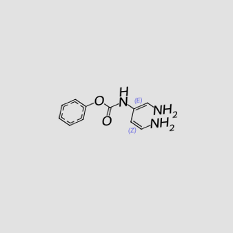 N/C=C\C(=C/N)NC(=O)Oc1ccccc1